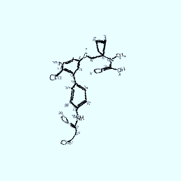 CN(C(=O)O)C1(COc2cnc(Cl)c(-c3ccc(NC(=O)CCl)cc3)c2)CC1